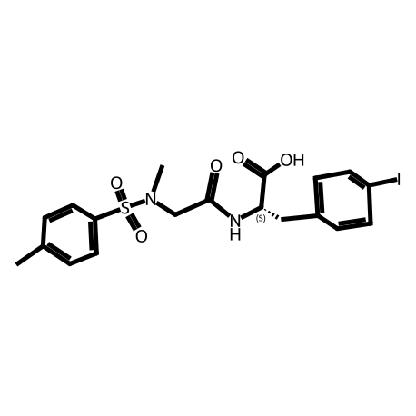 Cc1ccc(S(=O)(=O)N(C)CC(=O)N[C@@H](Cc2ccc(I)cc2)C(=O)O)cc1